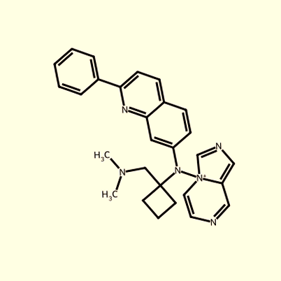 CN(C)CC1(N(c2ccc3ccc(-c4ccccc4)nc3c2)[N+]23C=CN=CC2=CN=C3)CCC1